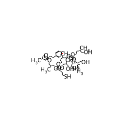 CC(CO)CCO[Si](CCCS)(OCC(C)CO)OCC(C)CCO[Si](CCCS)(OCC(C)CO)OCC(C)CO[Si]1(CCc2ccccc2)CC(C)CO1